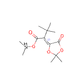 C[SiH](C)OC(=O)/C(=C1\OC(C)(C)OC1=O)C(C)(C)C